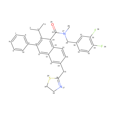 CC(C)c1c(-c2ccccc2)cc2cc(CC3=NCCS3)ccc2c1C(=O)N(C)Cc1ccc(F)c(F)c1